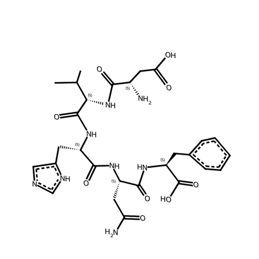 CC(C)[C@H](NC(=O)[C@@H](N)CC(=O)O)C(=O)N[C@@H](Cc1cnc[nH]1)C(=O)N[C@@H](CC(N)=O)C(=O)N[C@@H](Cc1ccccc1)C(=O)O